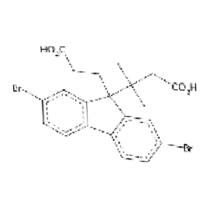 CC(C)(CC(=O)O)C1(CCC(=O)O)c2cc(Br)ccc2-c2ccc(Br)cc21